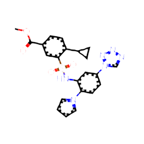 COC(=O)c1ccc(C2CC2)c(S(=O)(=O)Nc2cc(-n3cnnn3)ccc2-n2cccc2)c1